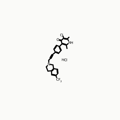 Cc1[nH]c(C)c(-c2ccc(C#CCN3CCc4cc(C(F)(F)F)ccc4C3)cc2)c(=O)c1Cl.Cl